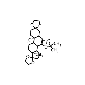 C[C@]12CCC3(CC1C=C(O[Si](C)(C)C)C1C2CC[C@@]2(C)C1CCC21OCCO1)OCCO3